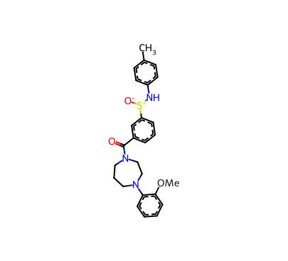 COc1ccccc1N1CCCN(C(=O)c2cccc([S+]([O-])Nc3ccc(C)cc3)c2)CC1